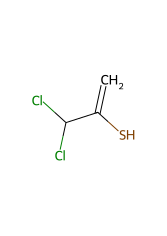 C=C(S)C(Cl)Cl